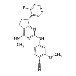 CNc1nc(Nc2ccc(C#N)c(OC)c2)nc2c1CC[C@H]2c1ccccc1F